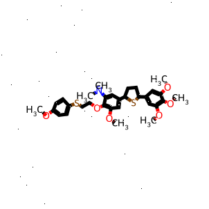 COc1ccc(SCCOc2c(OC)cc(C3CCC(c4cc(OC)c(OC)c(OC)c4)S3)cc2N(C)C)cc1